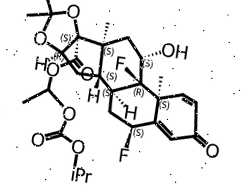 CC(C)OC(=O)OC(C)OC(=O)[C@@]12OC(C)(C)O[C@@H]1C[C@H]1[C@@H]3C[C@H](F)C4=CC(=O)C=C[C@]4(C)[C@@]3(F)[C@@H](O)C[C@@]12C